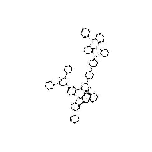 c1ccc(-c2ccc3c(c2)c2ccccc2n3-c2ccc(-c3cc(-c4ccccc4)nc(-c4ccccc4)n3)cc2-c2nc(-c3ccccc3)nc(-c3ccc(-c4ccc(N5c6ccccc6B6c7ccccc7N(c7ccccc7)c7cccc5c76)cc4)cc3)n2)cc1